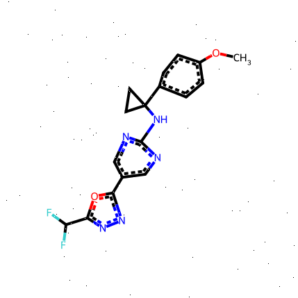 COc1ccc(C2(Nc3ncc(-c4nnc(C(F)F)o4)cn3)CC2)cc1